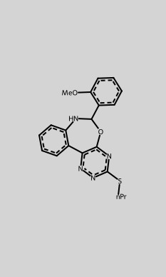 CCCSc1nnc2c(n1)OC(c1ccccc1OC)Nc1ccccc1-2